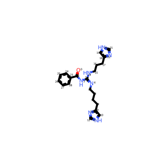 O=C(N/C(=N\CCCCc1c[nH]cn1)NCCCc1c[nH]cn1)c1ccccc1